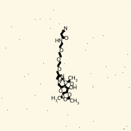 COC1OC(Cn2cc(COCCOCCOCCNC(=O)CC#N)nn2)C(OC(C)=O)C(O)C1OC(C)=O